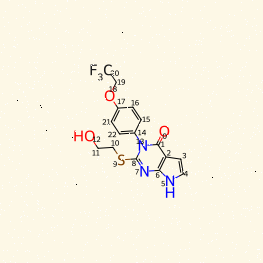 O=c1c2cc[nH]c2nc(SCCO)n1-c1ccc(OCC(F)(F)F)cc1